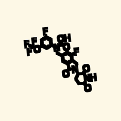 O=C1CCC(N2Cc3c(F)cc(CN(C(=O)O)c4cc(F)cc(OC(F)(F)F)c4)cc3C2=O)C(=O)N1